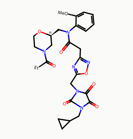 CCC(=O)N1CCO[C@@H](CN(C(=O)Cc2noc(CN3C(=O)C(=O)N(CC4CC4)C3=O)n2)c2ccccc2OC)C1